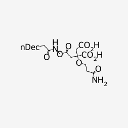 CCCCCCCCCCCC(=O)NOC(=O)CC(CC(=O)O)(OCCC(N)=O)C(=O)O